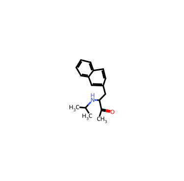 CC(=O)C(Cc1ccc2ccccc2c1)NC(C)C